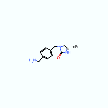 CCC[C@H]1CN(Cc2ccc(CN)cc2)C(=O)N1